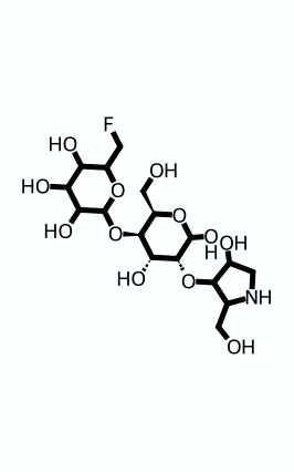 OCC1NCC(O)C1O[C@H]1C(O)O[C@H](CO)[C@H](OC2OC(CF)C(O)C(O)C2O)[C@H]1O